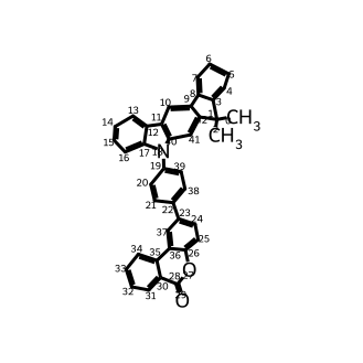 CC1(C)c2ccccc2-c2cc3c4ccccc4n(-c4ccc(-c5ccc6oc(=O)c7ccccc7c6c5)cc4)c3cc21